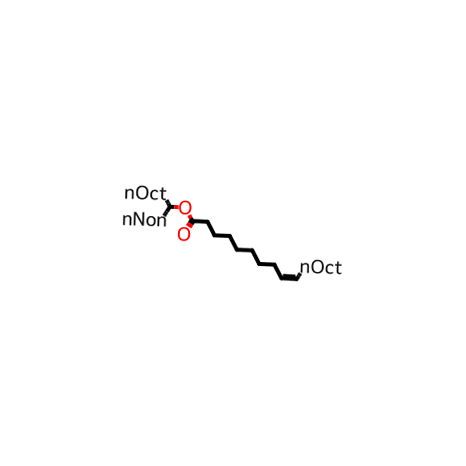 CCCCCCCC/C=C\CCCCCCCC(=O)OC(CCCCCCCC)CCCCCCCCC